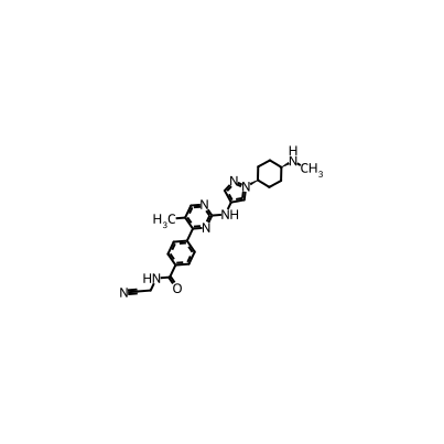 CN[C@H]1CC[C@@H](n2cc(Nc3ncc(C)c(-c4ccc(C(=O)NCC#N)cc4)n3)cn2)CC1